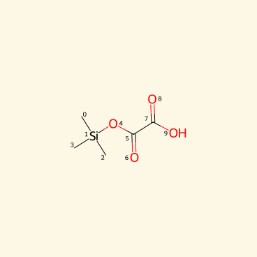 C[Si](C)(C)OC(=O)C(=O)O